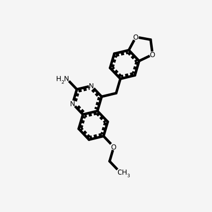 CCOc1ccc2nc(N)nc(Cc3ccc4c(c3)OCO4)c2c1